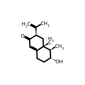 C=C(C)[C@H]1C[C@@]2(C)C(=CC1=O)CC[C@@H](O)[C@@H]2C